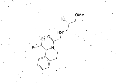 CCC(CC)C1c2ccccc2CCN1C(=O)CNC[C@H](O)COC